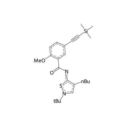 CCCCc1cn(C(C)(C)C)s/c1=N\C(=O)c1cc(C#C[Si](C)(C)C)ccc1OC